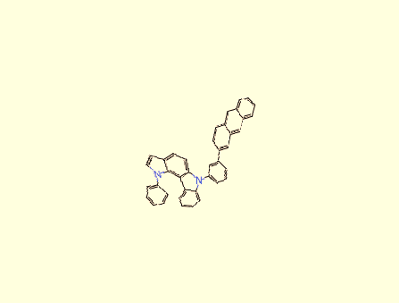 c1ccc(-n2ccc3ccc4c(c5ccccc5n4-c4cccc(-c5ccc6cc7ccccc7cc6c5)c4)c32)cc1